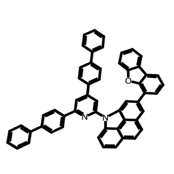 c1ccc(-c2ccc(-c3cc(-c4ccc(-c5ccccc5)cc4)nc(-n4c5cccc6ccc7cc(-c8cccc9c8oc8ccccc89)cc4c7c65)c3)cc2)cc1